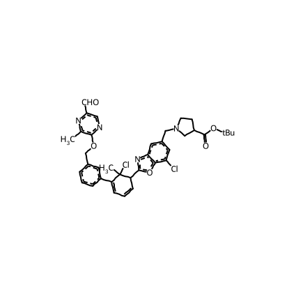 Cc1nc(C=O)cnc1OCc1cccc(C2=CC=CC(c3nc4cc(CN5CCC(C(=O)OC(C)(C)C)C5)cc(Cl)c4o3)C2(C)Cl)c1